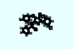 Cc1ccc(OC2C(=O)N(c3cc(Cl)ccc3Cl)N=C2NC(=O)c2ccccc2)cc1